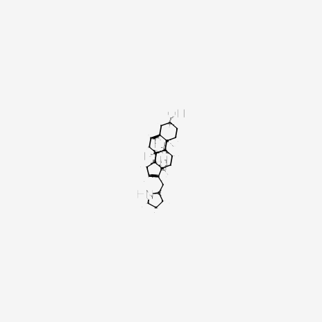 C[C@]12CC[C@H](O)CC1=CC[C@@H]1[C@@H]2CC[C@]2(C)C(CC3CCCN3)=CC[C@@H]12